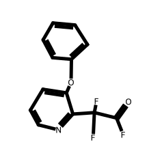 O=C(F)C(F)(F)c1ncccc1Oc1ccccc1